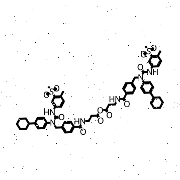 Cc1ccc(NC(=O)N(Cc2ccc(C(=O)NCCC(=O)OC(=O)CCNC(=O)c3ccc(CN(C(=O)Nc4ccc(C)c(S(C)(=O)=O)c4)c4ccc(C5CCCCC5)cc4)cc3)cc2)c2ccc(C3=CCCCC3)cc2)cc1S(C)(=O)=O